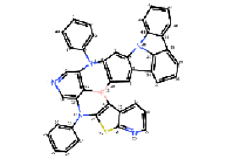 c1ccc(N2c3cc4c(cc3B3c5c2cncc5N(c2ccccc2)c2sc5ncccc5c23)c2cccc3c5ccccc5n4c32)cc1